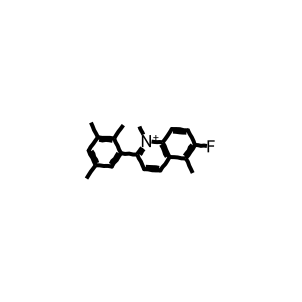 Cc1cc(C)c(C)c(-c2ccc3c(C)c(F)ccc3[n+]2C)c1